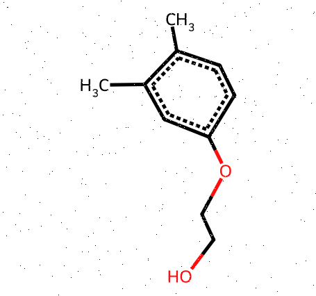 Cc1ccc(OCCO)cc1C